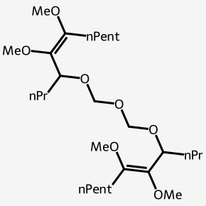 CCCCCC(OC)=C(OC)C(CCC)OCOCOC(CCC)C(OC)=C(CCCCC)OC